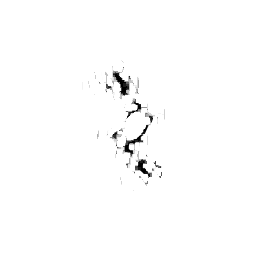 Nc1nc2c(ncn2[C@H]2C[C@@H]3OP(=O)(O)CC[C@H]4O[C@@H](n5cnc6c(N)ncnc65)[C@H](F)[C@@H]4OP(=O)(O)OC[C@H]3O2)c(=O)[nH]1